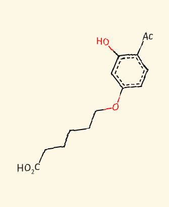 CC(=O)c1ccc(OCCCCCC(=O)O)cc1O